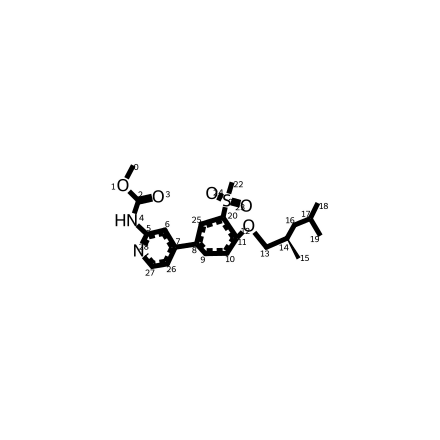 COC(=O)Nc1cc(-c2ccc(OC[C@H](C)CC(C)C)c(S(C)(=O)=O)c2)ccn1